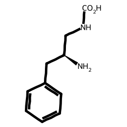 N[C@H](CNC(=O)O)Cc1ccccc1